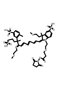 COCC\N=C(/C=C/C=C/C=C/C=C1/N(CCOCCC(=O)ON2C(=O)CCC2=O)c2ccc(S(=O)(=O)O)cc2C1(C)CCOC)C(C)(CCCS(=O)(=O)O)c1cc(S(=O)(=O)O)ccc1C